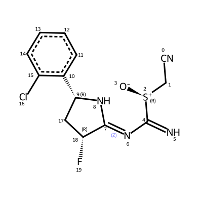 N#CC[S@+]([O-])C(=N)/N=C1\N[C@@H](c2ccccc2Cl)C[C@H]1F